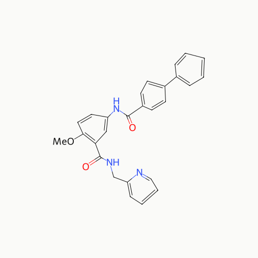 COc1ccc(NC(=O)c2ccc(-c3ccccc3)cc2)cc1C(=O)NCc1ccccn1